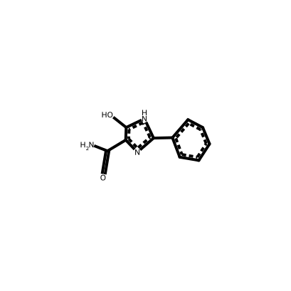 NC(=O)c1nc(-c2ccccc2)[nH]c1O